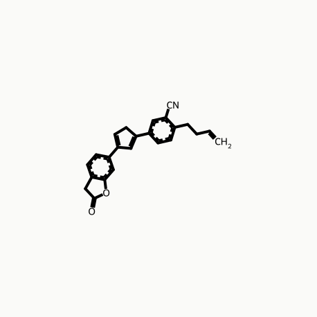 C=CCCc1ccc(C2=CC(c3ccc4c(c3)OC(=O)C4)=CC2)cc1C#N